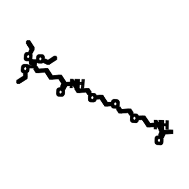 CCO[Si](CCCCC(=O)NCCOCCOCCOCCNC(C)=O)(OCC)OCC